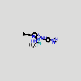 C[C@H](Nc1nc(NCc2ccc(-n3cncn3)cc2)nc2ccc(C#CC3CC3)nc12)C(F)(F)F